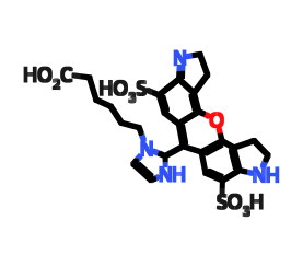 O=C(O)CCCCCN1C=CNC1C1=c2cc(S(=O)(=O)O)c3c(c2Oc2c1cc(S(=O)(=O)O)c1c2CCN1)CCN=3